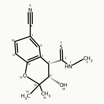 CNC(=S)[C@H]1c2cc(C#N)ccc2OC(C)(C)[C@H]1O